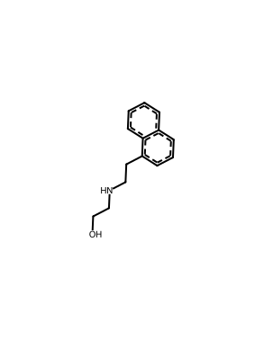 OCCNCCc1cccc2ccccc12